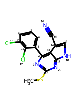 CSc1nc(-c2cccc(Cl)c2Cl)c2c(C#N)c[nH]c2n1